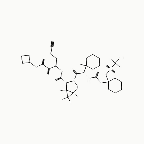 C#CCCC(NC(=O)[C@@H]1[C@@H]2[C@H](CN1C(=O)[C@@H](NC(=O)NC1(CS(=O)(=O)C(C)(C)C)CCCCC1)C1(C)CCCCC1)C2(C)C)C(=O)C(=O)NC1CCC1